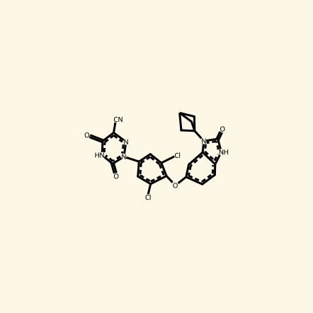 N#Cc1nn(-c2cc(Cl)c(Oc3ccc4[nH]c(=O)n(C56CC(C5)C6)c4c3)c(Cl)c2)c(=O)[nH]c1=O